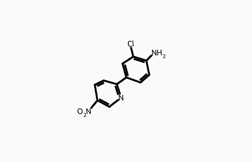 Nc1ccc(-c2ccc([N+](=O)[O-])cn2)cc1Cl